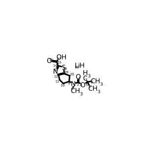 CN(C(=O)OC(C)(C)C)C1CCc2nc(C(=O)O)sc2C1.[LiH]